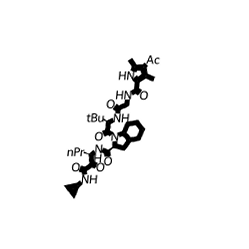 CCC[C@H](NC(=O)[C@@H]1CC2CCCCC2N1C(=O)[C@@H](NC(=O)CNC(=O)c1[nH]c(C)c(C(C)=O)c1C)C(C)(C)C)C(=O)C(=O)NC1CC1